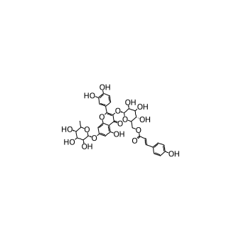 CC1O[C@@H](Oc2cc(O)c3c(=O)c(O[C@@H]4OC(COC(=O)/C=C/c5ccc(O)cc5)[C@@H](O)C(O)[C@@H]4O)c(-c4ccc(O)c(O)c4)oc3c2)[C@@H](O)C(O)[C@H]1O